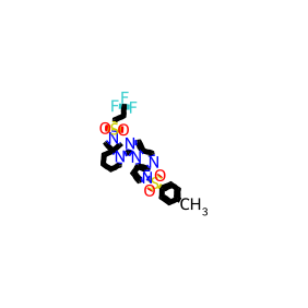 Cc1ccc(S(=O)(=O)n2ccc3c2ncc2cnc(N4CCCCC45CN(S(=O)(=O)CCC(F)(F)F)C5)n23)cc1